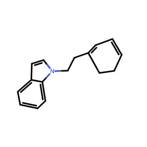 C1=CCCC(CCn2ccc3ccccc32)=C1